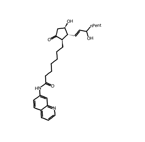 CCCCCC(O)/C=C/[C@H]1[C@H](O)CC(=O)[C@@H]1CCCCCCC(=O)Nc1ccc2cccnc2c1